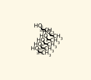 CCO.CCO.CCO.CCO.CCO.CCO